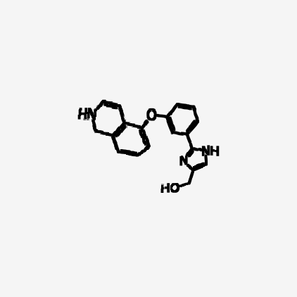 OCc1c[nH]c(-c2cccc(Oc3cccc4c3C=CNC4)c2)n1